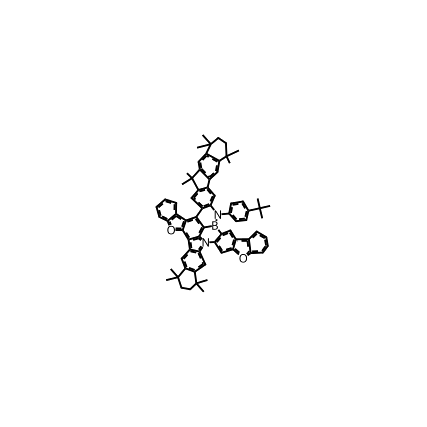 CC(C)(C)c1ccc(N2B3c4cc5c(cc4-n4c6cc7c(cc6c6c8oc9ccccc9c8c(c3c64)-c3cc4c(cc32)-c2cc3c(cc2C4(C)C)C(C)(C)CCC3(C)C)C(C)(C)CCC7(C)C)oc2ccccc25)cc1